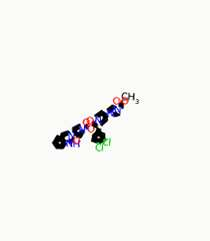 COC(=O)CN1CCN(C2CCN(C(=O)[C@@H](Cc3ccc(Cl)c(Cl)c3)OC(=O)N3CCC(N4CCc5ccccc5NC4=O)CC3)CC2)CC1